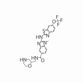 Cn1c(Nc2nc3ccc(OC(F)(F)F)cc3s2)nc2cc(C(=O)NCC3CNCCO3)ccc21